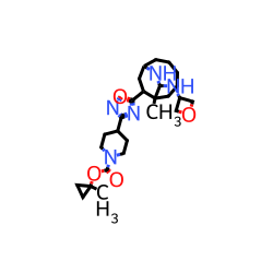 CC1(OC(=O)N2CCC(c3noc(C4CC5CCCCCC4(C)C(NC4COC4)N5)n3)CC2)CC1